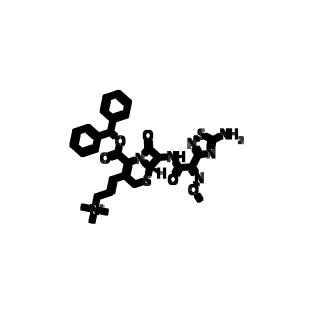 CO/N=C(\C(=O)NC1C(=O)N2C(C(=O)OC(c3ccccc3)c3ccccc3)=C(/C=C/C[N+](C)(C)C)CS[C@H]12)c1nsc(N)n1